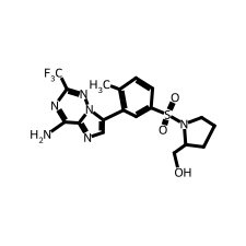 Cc1ccc(S(=O)(=O)N2CCCC2CO)cc1-c1cnc2c(N)nc(C(F)(F)F)nn12